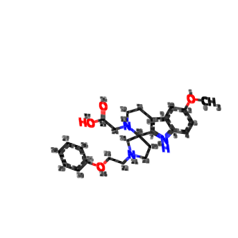 COc1ccc2[nH]c3c(c2c1)CCN(CC(=O)O)C31CCN(CCOc2ccccc2)C1